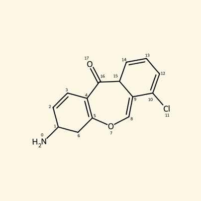 NC1C=CC2=C(C1)OC=C1C(Cl)=CC=CC1C2=O